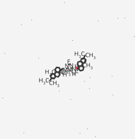 CC(C)c1ccc2c(c1)CC[C@H]1[C@@](C)(CNc3nc(F)nc(NC[C@@]4(C)CCC[C@]5(C)c6ccc(C(C)C)cc6CC[C@@H]45)n3)CCC[C@]21C